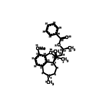 C=C(C)[C@@]12CCN(C)Cc3ccc(OC)c(c31)OC2C[C@H](C)OC(=O)c1ccccc1